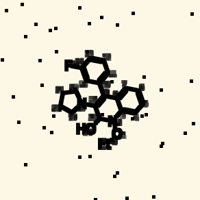 CCON1c2ccccc2C(c2cccc(F)c2)=C(N2CCCC2)C1O